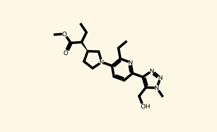 CCc1nc(-c2nnn(C)c2CO)ccc1N1CC[C@@H](C(CC)C(=O)OC)C1